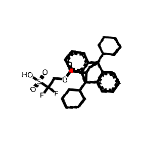 O=C(OCC(F)(F)S(=O)(=O)O)C1CC2(C3CCCCC3)c3ccccc3C1(C1CCCCC1)c1ccccc12